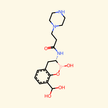 O=C(CCN1CCNCC1)N[C@H]1Cc2cccc(C(O)O)c2OB1O